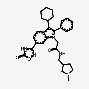 CN1CCC(CNC(=O)Cn2c(-c3ccccc3)c(C3CCCCC3)c3ccc(-c4noc(=O)[nH]4)cc32)C1